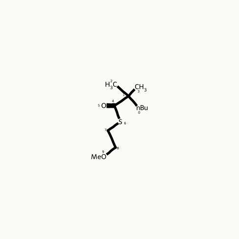 CCCCC(C)(C)C(=O)SCCOC